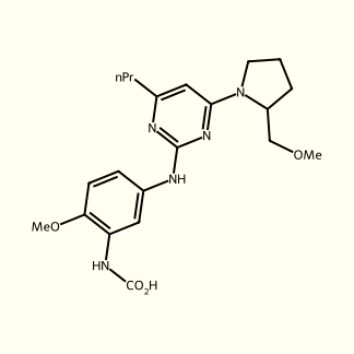 CCCc1cc(N2CCCC2COC)nc(Nc2ccc(OC)c(NC(=O)O)c2)n1